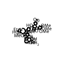 CC[C@]1(O)C[C@H]2C[N@](CCc3c([nH]c4ccccc34)[C@@](C(=O)OC)(c3cc4c(cc3OC)N(C)[C@H]3[C@@](O)(C(N)=O)[C@H](O)[C@]5(CC)C=CCN6CC[C@]43[C@@H]65)C2)C1.COc1cc([C@@H]2c3cc4c(cc3[C@H](O)[C@H]3COC(=O)[C@H]23)OCO4)cc(OC)c1OC